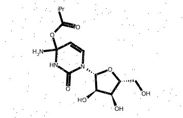 CC(C)C(=O)OC1(N)C=CN([C@@H]2O[C@H](CO)[C@@H](O)[C@H]2O)C(=O)N1